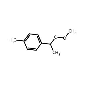 COOC(C)c1ccc(C)cc1